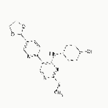 CSc1ncc(-c2ccc(C3OCCO3)cn2)c(NC2CCC(O)CC2)n1